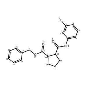 O=C(Nc1cccc(F)n1)C1CCCN1C(=O)OCc1ccccc1